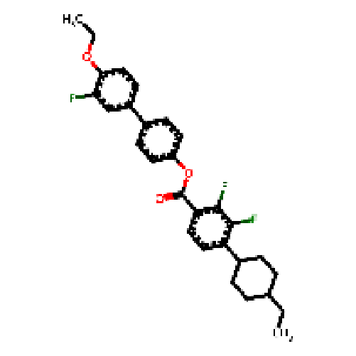 CCOc1ccc(-c2ccc(OC(=O)c3ccc(C4CCC(CC)CC4)c(F)c3F)cc2)cc1F